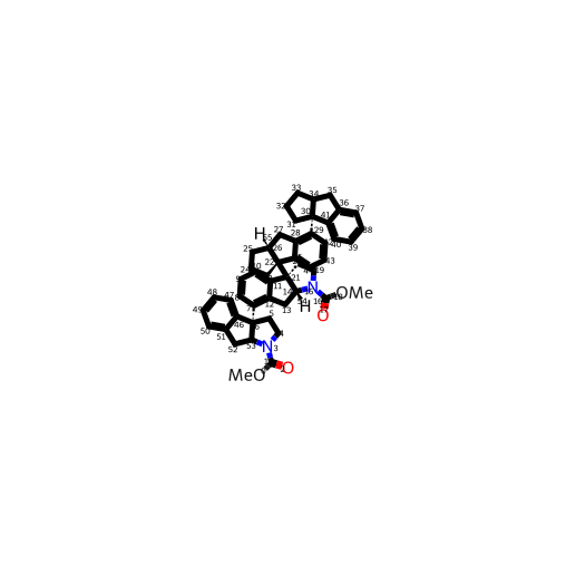 COC(=O)N1CC[C@]2(c3cccc4c3C[C@H]3N(C(=O)OC)CC[C@@]43[C@]34CCC[C@H]3Cc3c([C@]56CCCC5Cc5ccccc56)cccc34)c3ccccc3CC12